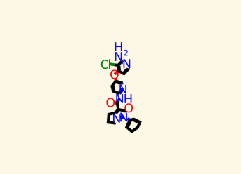 Nc1nccc(Oc2ccc(NC(=O)c3c4n(n(C5=CCCC=C5)c3=O)CCC4)nc2)c1Cl